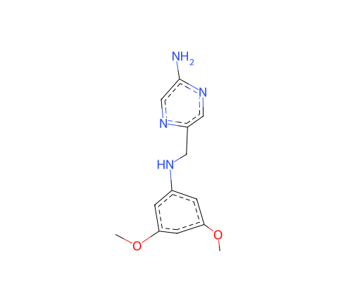 COc1cc(NCc2cnc(N)cn2)cc(OC)c1